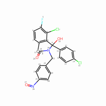 Cc1ccc(F)c(Cl)c1C(O)(c1ccc(Cl)cc1)N(C=O)Cc1ccc(N=O)cc1